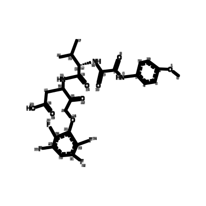 COc1ccc(NC(=O)C(=O)N[C@H](C(=O)NC(CC(=O)O)C(=O)COc2c(F)c(F)cc(F)c2F)C(C)C)cc1